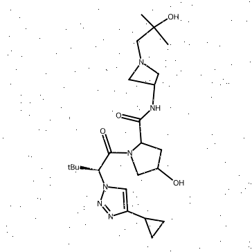 CC(C)(O)CN1CC(NC(=O)C2CC(O)CN2C(=O)[C@@H](n2cc(C3CC3)nn2)C(C)(C)C)C1